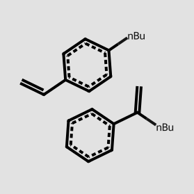 C=C(CCCC)c1ccccc1.C=Cc1ccc(CCCC)cc1